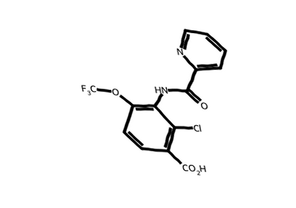 O=C(Nc1c(OC(F)(F)F)ccc(C(=O)O)c1Cl)c1ccccn1